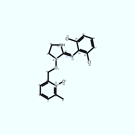 Cc1cccc(CON2CCN/C2=N\c2c(Cl)cccc2Cl)[n+]1[O-]